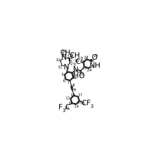 C[C@H]1CN(c2ccc(C#Cc3cc(C(F)(F)F)cc(C(F)(F)F)c3)cc2NC(=O)c2c[nH]c(=O)cc2C(F)(F)F)CCN1C